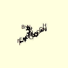 CNCC(O)COc1ccc(Cl)c(-c2nc(-c3c(C)c(Br)nn3C)c(C)c(N3CC4(CN(CC(F)(F)F)C4)C3)n2)c1